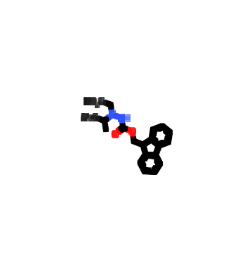 CSC(C)N(CC(=O)O)NC(=O)OCC1c2ccccc2-c2ccccc21